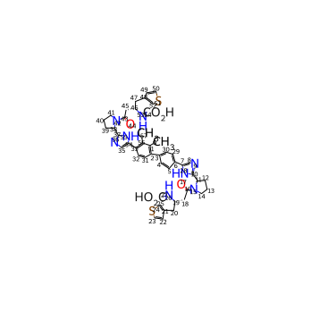 Cc1c(-c2ccc(-c3cnc(C4CCCN4C(=O)C[C@H](Cc4ccsc4)NC(=O)O)[nH]3)cc2)ccc(-c2cnc(C3CCCN3C(=O)C[C@H](Cc3ccsc3)NC(=O)O)[nH]2)c1C